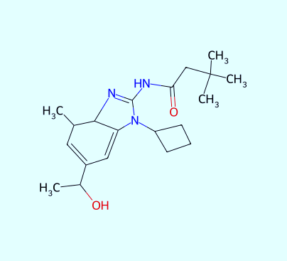 CC(O)C1=CC(C)C2N=C(NC(=O)CC(C)(C)C)N(C3CCC3)C2=C1